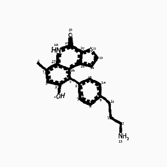 Cc1cc(O)c(-c2ccc(CCCN)cc2)c2c1[nH]c(=O)c1sccc12